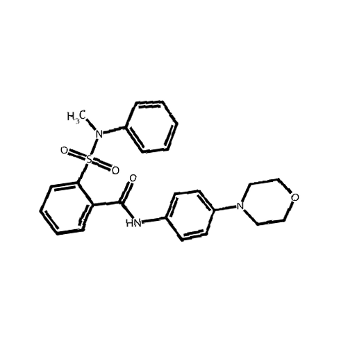 CN(c1ccccc1)S(=O)(=O)c1ccccc1C(=O)Nc1ccc(N2CCOCC2)cc1